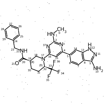 CNc1nc(-c2ccc3c(N)n[nH]c3c2)cc(N2C[C@H](C(=O)NCc3ccccc3)CC[C@@H]2C(F)(F)F)n1